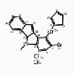 CN1c2ccc(Br)[c]([Zr+2][C]3=CC=CC3)c2C2=Cc3ccccc3C21.[Cl-].[Cl-]